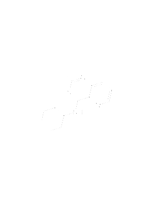 Clc1nc(NC2CCOCC2)c2ncccc2n1